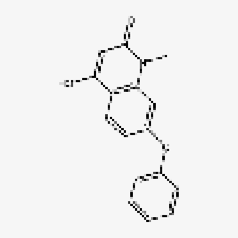 Cn1c(=O)cc(O)c2ccc(Oc3ccccc3)cc21